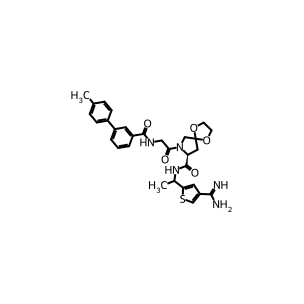 Cc1ccc(-c2cccc(C(=O)NCC(=O)N3CC4(C[C@H]3C(=O)NC(C)c3cc(C(=N)N)cs3)OCCO4)c2)cc1